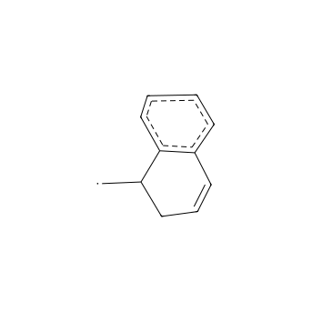 [CH2]C1CC=Cc2ccccc21